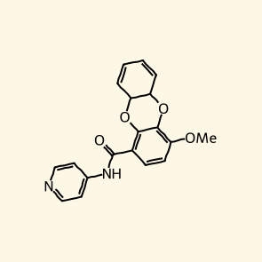 COc1ccc(C(=O)Nc2ccncc2)c2c1OC1C=CC=CC1O2